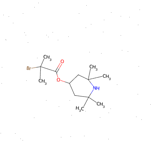 CC1(C)CC(OC(=O)C(C)(C)Br)CC(C)(C)N1